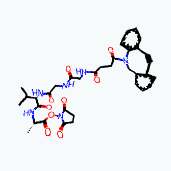 CC(C)[C@H](NC(=O)CNC(=O)CNC(=O)CCC(=O)N1Cc2ccccc2C#Cc2ccccc21)C(=O)N[C@@H](C)C(=O)ON1C(=O)CCC1=O